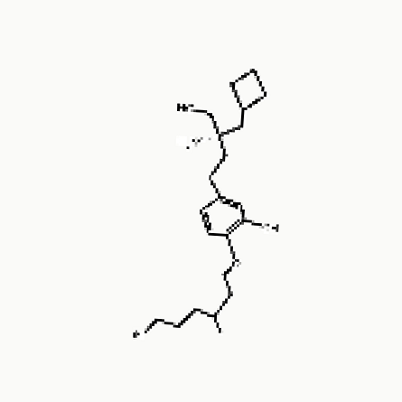 CC(C)CCCC(C)CCOc1ccc(CC[C@@](N)(CO)CC2CCC2)cc1O